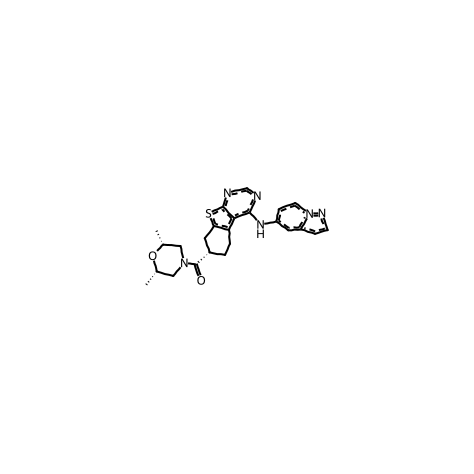 C[C@@H]1CN(C(=O)[C@H]2CCc3c(sc4ncnc(Nc5ccn6nccc6c5)c34)C2)C[C@H](C)O1